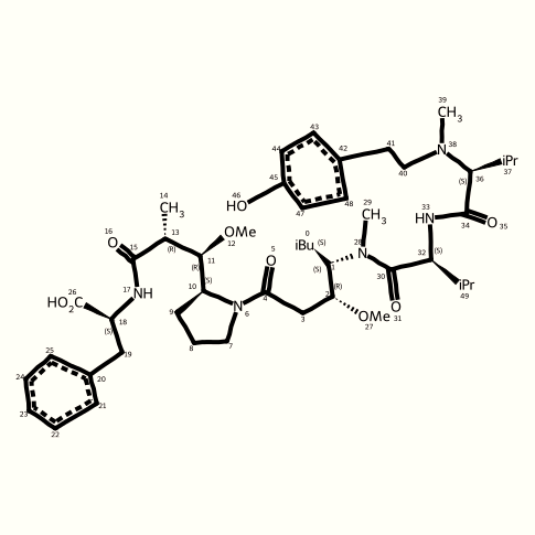 CC[C@H](C)[C@@H]([C@@H](CC(=O)N1CCC[C@H]1[C@H](OC)[C@@H](C)C(=O)N[C@@H](Cc1ccccc1)C(=O)O)OC)N(C)C(=O)[C@@H](NC(=O)[C@H](C(C)C)N(C)CCc1ccc(O)cc1)C(C)C